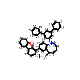 C=C1/C=C\C=C/N(c2cc(-c3ccccc3)cc(-c3ccccc3)c2)c2ccc(-c3cccc4c5c(oc34)CCC=C5)cc21